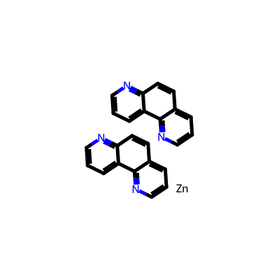 [Zn].c1cnc2c(c1)ccc1ncccc12.c1cnc2c(c1)ccc1ncccc12